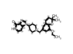 CCOc1cc(CN2CCC(n3cnc4c(=O)[nH]ccc43)CC2)cc2c1OC(C)(C)C=C2